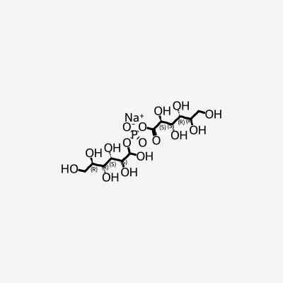 O=C(OP(=O)([O-])OC(O)[C@@H](O)[C@@H](O)[C@H](O)[C@H](O)CO)[C@@H](O)[C@@H](O)[C@H](O)[C@H](O)CO.[Na+]